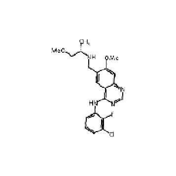 COC[C@H](C)NCc1cc2c(Nc3cccc(Cl)c3F)ncnc2cc1OC